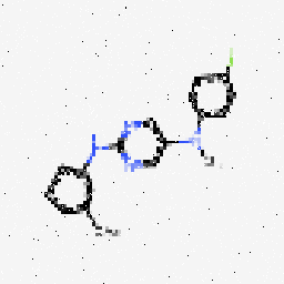 COc1cccc(Nc2ncc(N(C)c3ccc(F)cc3)cn2)c1